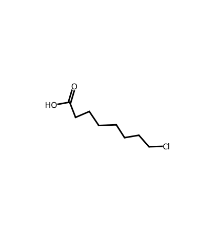 O=C(O)CCCCCCCCl